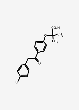 CC(C)(Oc1ccc(C(=O)Cc2ccc(Cl)cc2)cc1)C(=O)O